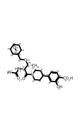 CC(C)C(=O)N[C@H](C(=O)N1CCC(c2ccc(C(=O)O)c(O)c2)CC1)[C@@H](C)OCC12CCC(CC1)OC2